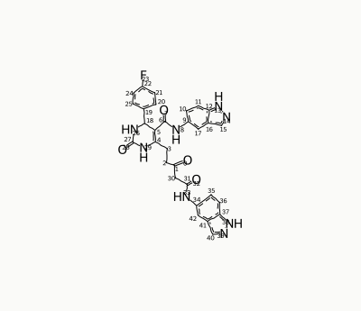 O=C(CCC1=C(C(=O)Nc2ccc3[nH]ncc3c2)C(c2ccc(F)cc2)NC(=O)N1)CC(=O)Nc1ccc2[nH]ncc2c1